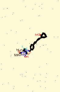 CNC(=O)NC(C)(C(F)F)[C@H](NC(=O)c1ccc(C#CC#Cc2ccccc2O)cc1)C(=O)NO